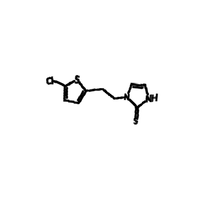 S=c1[nH]ccn1CCc1ccc(Cl)s1